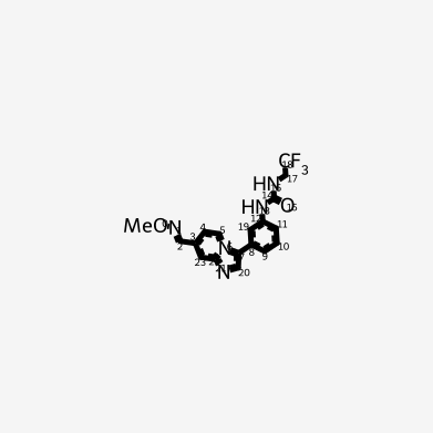 CO/N=C/c1ccn2c(-c3cccc(NC(=O)NCC(F)(F)F)c3)cnc2c1